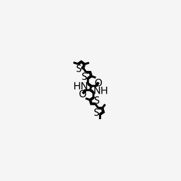 Cc1cc(C)c(-c2cc(C)c(C3=C4C(=O)NC(c5sc(-c6sc(C)cc6C)cc5C)=C4C(=O)N3)s2)s1